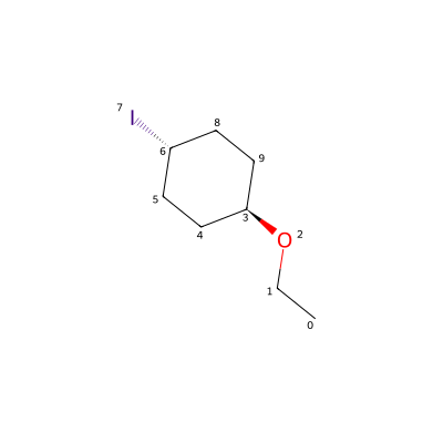 CCO[C@H]1CC[C@H](I)CC1